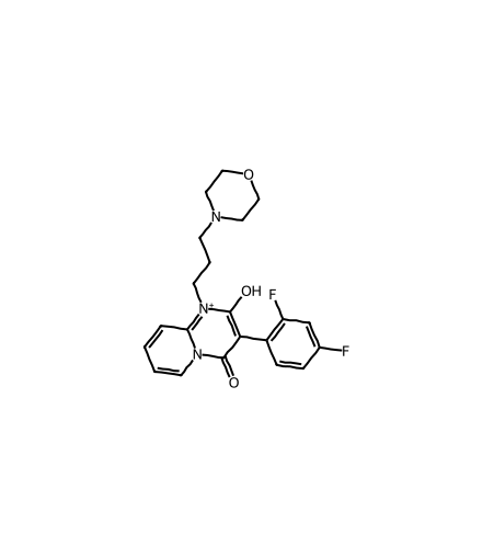 O=c1c(-c2ccc(F)cc2F)c(O)[n+](CCCN2CCOCC2)c2ccccn12